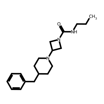 CCCNC(=O)N1CC(N2CCC(Cc3ccccc3)CC2)C1